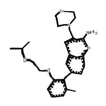 Cc1cccc(OCCOC(C)C)c1-c1ccc2nc(N)c(N3CCOCC3)cc2c1